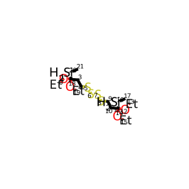 CCOC(CCSSSSCCC(OCC)(OCC)[SiH2]C)(OCC)[SiH2]C